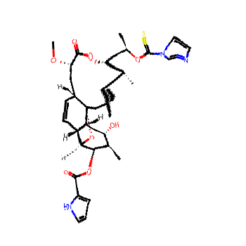 CO[C@H]1C[C@H]2C=C[C@H]3[C@H]4O[C@]2(/C(C)=C/[C@@H](C)[C@@H]([C@@H](C)OC(=S)n2ccnc2)OC1=O)[C@@H]3[C@H](O)[C@@H](C)[C@H]4OC(=O)c1ccc[nH]1